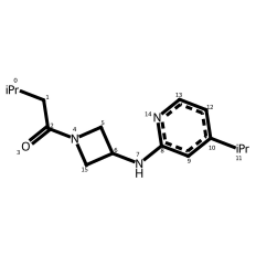 CC(C)CC(=O)N1CC(Nc2cc(C(C)C)ccn2)C1